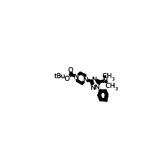 CN(C)c1nc(N2CCN(C(=O)OC(C)(C)C)CC2)nn1-c1ccccc1